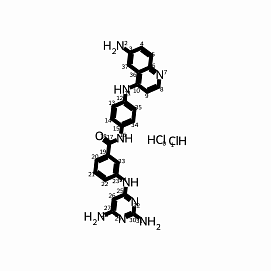 Cl.Cl.Nc1ccc2nccc(Nc3ccc(NC(=O)c4cccc(Nc5cc(N)nc(N)n5)c4)cc3)c2c1